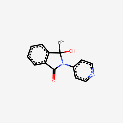 CCCC1(O)c2ccccc2C(=O)N1c1ccncc1